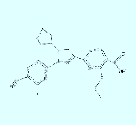 CCOc1nc(C2=NN(c3ccc(C#N)c(C)n3)C(C3CCCC3)C2)ccc1C(=O)O